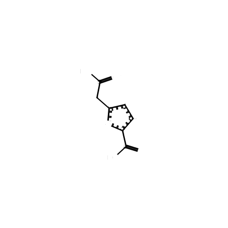 CC(=O)c1ccc(CC(=O)O)o1